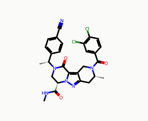 CNC(=O)[C@@H]1CN([C@H](C)c2ccc(C#N)cc2)C(=O)c2c3c(nn21)C[C@@H](C)N(C(=O)c1ccc(Cl)c(Cl)c1)C3